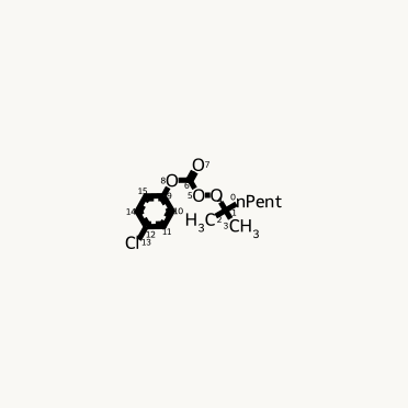 CCCCCC(C)(C)OOC(=O)Oc1ccc(Cl)cc1